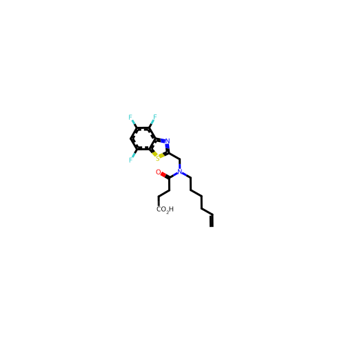 C=CCCCCN(Cc1nc2c(F)c(F)cc(F)c2s1)C(=O)CCC(=O)O